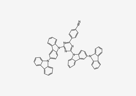 N#Cc1ccc(-c2nc(-n3c4ccccc4c4cc(-n5c6ccccc6c6ccccc65)ccc43)nc(-n3c4ccccc4c4cc(-n5c6ccccc6c6ccccc65)ccc43)n2)cc1